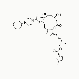 C/C(=C\C=C\[C@@H](C)COC(=O)N1CCC(F)C1)[C@H]1OC(=O)C[C@H](O)CC[C@@](C)(O)[C@@H](OC(=O)N2CCN(C3CCCCCC3)CC2)/C=C/[C@@H]1C